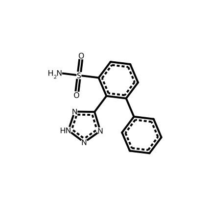 NS(=O)(=O)c1cccc(-c2ccccc2)c1-c1nn[nH]n1